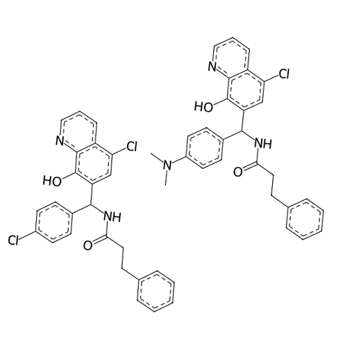 CN(C)c1ccc(C(NC(=O)CCc2ccccc2)c2cc(Cl)c3cccnc3c2O)cc1.O=C(CCc1ccccc1)NC(c1ccc(Cl)cc1)c1cc(Cl)c2cccnc2c1O